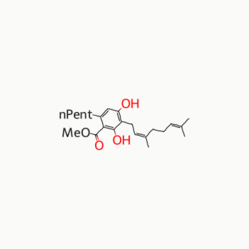 CCCCCc1cc(O)c(CC=C(C)CCC=C(C)C)c(O)c1C(=O)OC